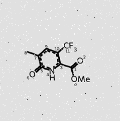 COC(=O)c1[nH]c(=O)c(C)cc1C(F)(F)F